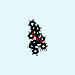 C1=C(c2ccc3c(oc4ccccc43)c2C2CCc3cc4ccccc4cc3-c3ccccc32)/N=C(c2cccc3ccccc23)\N=C2\c3cccc4c5ccccc5n(c34)-c3ccccc3C2C/1